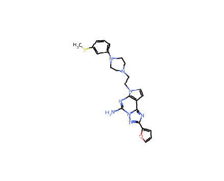 CSc1cccc(N2CCN(CCn3ccc4c3nc(N)n3nc(-c5ccco5)nc43)CC2)c1